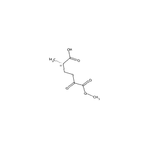 COC(=O)C(=O)CC[C@H](C)C(=O)O